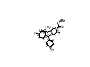 COC[C@@]1(O)CN(C(=O)OC(C)(C)C)[C@@H](C)CN1C(c1ccc(F)cc1)c1ccc(C#N)cc1